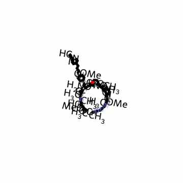 C#Cc1ncc(CCCO[C@@H]2CC[C@@H](C[C@@H](N)[C@@H]3CC(=O)[C@H](C)/C=C(\C)[C@@H](O)[C@@H](OC)C(=O)[C@H](C)C[C@H](C)/C=C/C=C/C=C(\C)[C@@H](OC)C[C@@H]4CC[C@@H](C)[C@@](O)(O4)C(=O)C(=O)N4CCCC[C@H]4C(=O)O3)C[C@H]2OC)cn1